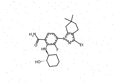 CCc1nn(-c2ccc(C(N)=O)c(N[C@H]3CCCC[C@@H]3O)c2F)c2c1CCC(C)(C)C2